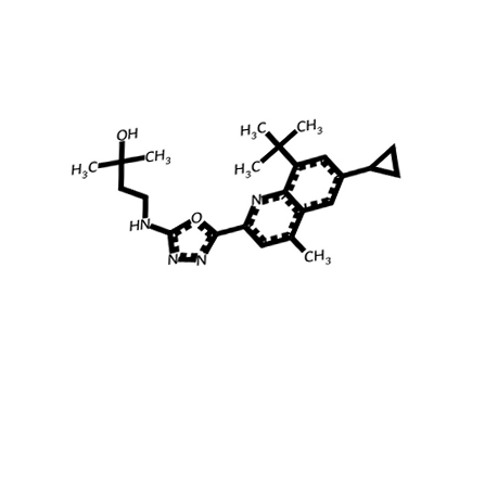 Cc1cc(-c2nnc(NCCC(C)(C)O)o2)nc2c(C(C)(C)C)cc(C3CC3)cc12